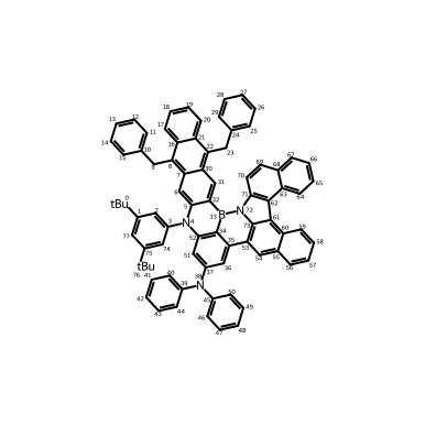 CC(C)(C)c1cc(N2c3cc4c(Cc5ccccc5)c5ccccc5c(Cc5ccccc5)c4cc3B3c4c(cc(N(c5ccccc5)c5ccccc5)cc42)-c2cc4ccccc4c4c5c6ccccc6ccc5n3c24)cc(C(C)(C)C)c1